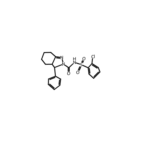 O=C(NS(=O)(=O)c1ccccc1Cl)N1N=C2CCCCC2C1c1ccccc1